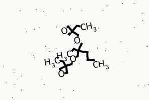 CCCCC(CC)(COCC1(CC)COC1)COCC1(CC)COC1